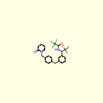 O=C(NC(c1cccc(Cc2ccc(Cn3ccccc3=O)cc2)c1)C(F)(F)F)C(F)(F)F